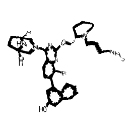 NCCCN1CCC[C@H]1COc1nc(N2C[C@H]3CC[C@@H](C2)N3)c2ccc(-c3cc(O)cc4ccccc34)c(F)c2n1